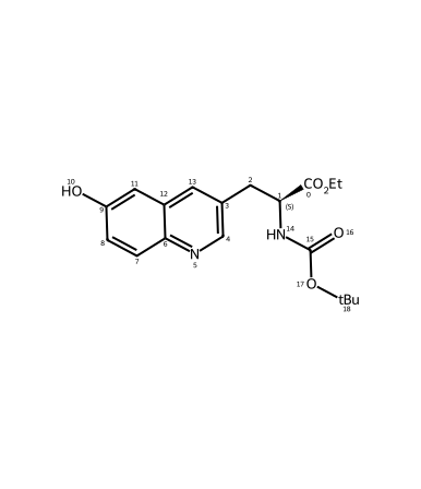 CCOC(=O)[C@H](Cc1cnc2ccc(O)cc2c1)NC(=O)OC(C)(C)C